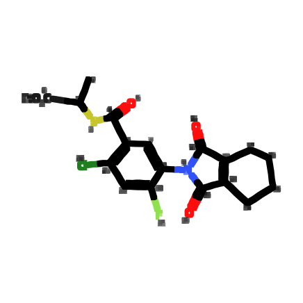 CCOC(=O)C(C)SC(=O)c1cc(N2C(=O)C3=C(CCCC3)C2=O)c(F)cc1Cl